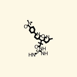 Cc1ccc2c(n1)Oc1nc(-c3ccc(C(=O)N(C)C)cc3)ccc1C2C(C)(C)C(=O)NC(=N)SC=N